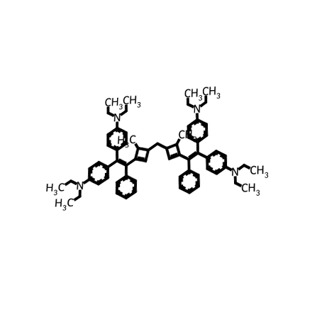 CCN(CC)c1ccc(C(=C(C2=CC(CC3C=C(C(=C(c4ccc(N(CC)CC)cc4)c4ccc(N(CC)CC)cc4)c4ccccc4)C3C)C2C)c2ccccc2)c2ccc(N(CC)CC)cc2)cc1